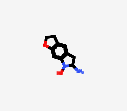 NC1Cc2cc3c(cc2N1O)OCC3